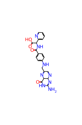 NC1=NC2N=CC(CNc3ccc(C(=O)NC(C(=O)O)c4ccccn4)cc3)=NC2C(=O)N1